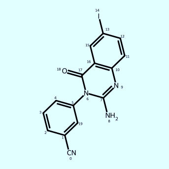 N#Cc1cccc(-n2c(N)nc3ccc(I)cc3c2=O)c1